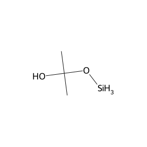 CC(C)(O)O[SiH3]